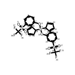 O=S(=O)(c1cccc([O][Zr]([O]c2cccc(S(=O)(=O)C(F)(F)F)c2)([CH]2C=CC=C2)[CH]2C=CC=C2)c1)C(F)(F)F